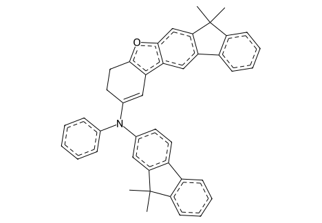 CC1(C)c2ccccc2-c2ccc(N(C3=Cc4c(oc5cc6c(cc45)-c4ccccc4C6(C)C)CC3)c3ccccc3)cc21